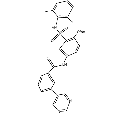 COc1ccc(NC(=O)c2cccc(-c3cncnc3)c2)cc1S(=O)(=O)Nc1c(C)cccc1C